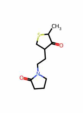 CC1SCC(CCN2CCCC2=O)C1=O